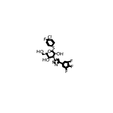 OC[C@H]1O[C@H](SC2C=CC(F)(Cl)C=C2)[C@H](O)[C@@H](n2cc(-c3cc(F)c(F)c(F)c3)nn2)[C@H]1O